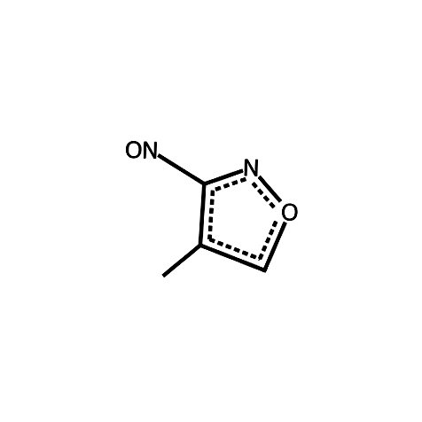 Cc1conc1N=O